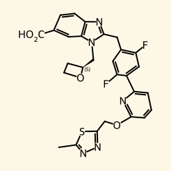 Cc1nnc(COc2cccc(-c3cc(F)c(Cc4nc5ccc(C(=O)O)cc5n4C[C@@H]4CCO4)cc3F)n2)s1